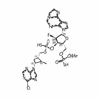 COP(=O)(S)OC[C@H]1O[C@@H](n2cnc3c2ncn2ccnc32)[C@H](F)[C@@H]1OP(=O)(S)OC[C@H]1C[C@@H](n2cnc3c(Cl)ncnc32)[C@@H]1C